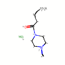 CN1CCN(C(=O)CCC(=O)O)CC1.Cl